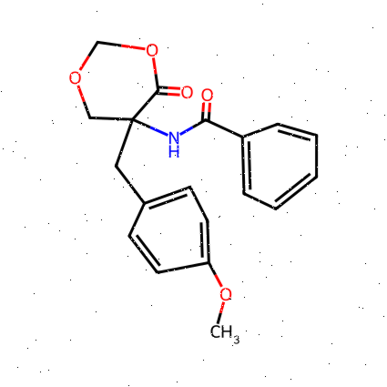 COc1ccc(CC2(NC(=O)c3ccccc3)COCOC2=O)cc1